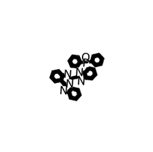 O=P1(c2ccccc2)c2ccccc2-n2c(-c3nc4ccccc4c4nc5ccccc5n34)nc3cccc1c32